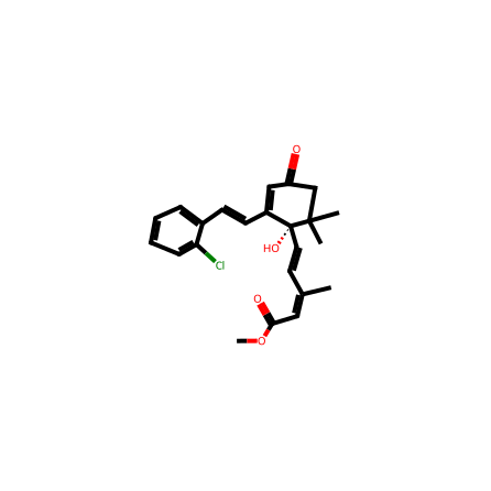 COC(=O)/C=C(C)\C=C\[C@@]1(O)C(/C=C/c2ccccc2Cl)=CC(=O)CC1(C)C